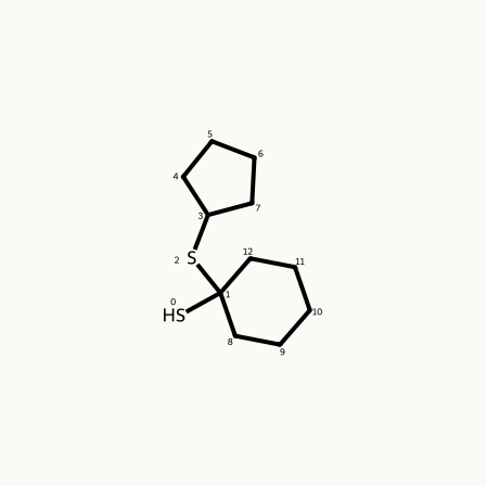 SC1(SC2CCCC2)CCCCC1